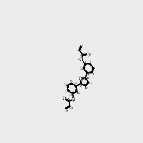 C=CC(=O)Oc1cccc(-c2ccc(-c3cccc(OC(=O)C=C)c3)o2)c1